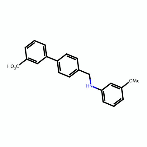 COc1cccc(NCc2ccc(-c3cccc(C(=O)O)c3)cc2)c1